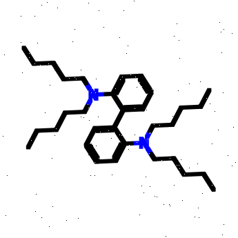 CCCCCN(CCCCC)c1ccccc1-c1ccccc1N(CCCCC)CCCCC